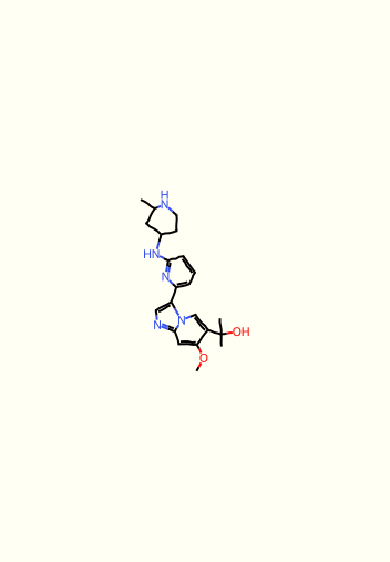 COc1cc2ncc(-c3cccc(NC4CCNC(C)C4)n3)n2cc1C(C)(C)O